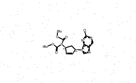 CC(C)(C)OC(=O)N(C(=O)OC(C)(C)C)[C@@H]1C=C[C@H](n2cnc3cnc(Cl)nc32)C1